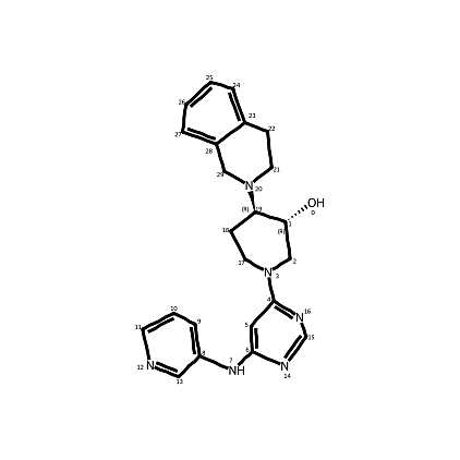 O[C@@H]1CN(c2cc(Nc3cccnc3)ncn2)CC[C@H]1N1CCc2ccccc2C1